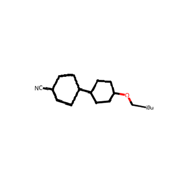 CCC(C)COC1CCC(C2CCC(C#N)CC2)CC1